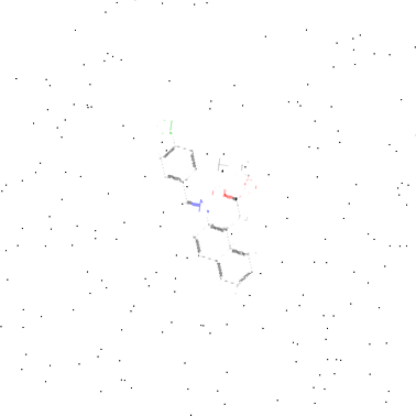 COC(=O)Cc1c(N=Cc2ccc(Cl)cc2)ccc2ccccc12